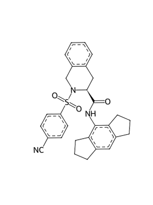 N#Cc1ccc(S(=O)(=O)N2Cc3ccccc3C[C@H]2C(=O)Nc2c3c(cc4c2CCC4)CCC3)cc1